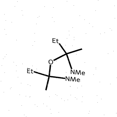 CCC(C)(NC)OC(C)(CC)NC